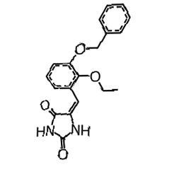 CCOc1c(C=C2NC(=O)NC2=O)cccc1OCc1ccccc1